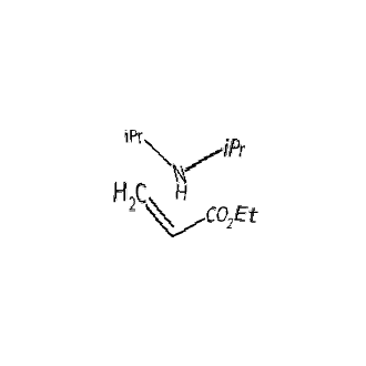 C=CC(=O)OCC.CC(C)NC(C)C